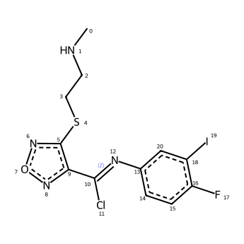 CNCCSc1nonc1/C(Cl)=N/c1ccc(F)c(I)c1